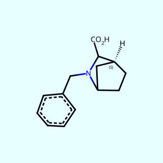 O=C(O)C1[C@H]2CCC(C2)N1Cc1ccccc1